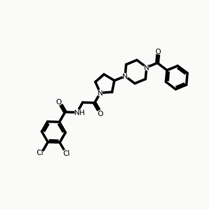 O=C(NCC(=O)N1CCC(N2CCN(C(=O)c3ccccc3)CC2)C1)c1ccc(Cl)c(Cl)c1